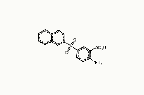 Nc1ccc(S(=O)(=O)c2ccc3ccccc3c2)cc1S(=O)(=O)O